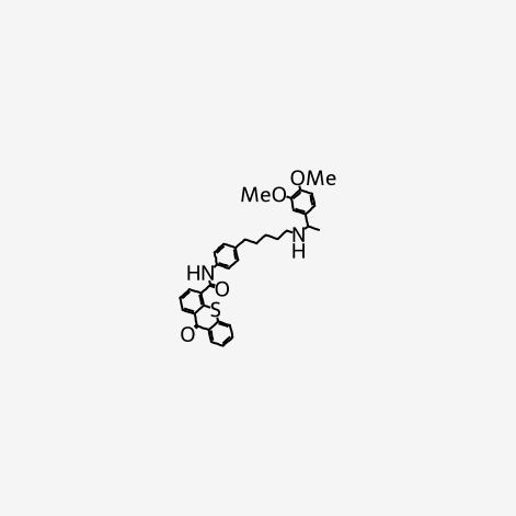 COc1ccc(C(C)NCCCCCc2ccc(NC(=O)c3cccc4c(=O)c5ccccc5sc34)cc2)cc1OC